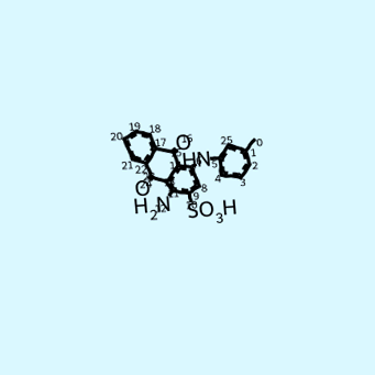 Cc1cccc(Nc2cc(S(=O)(=O)O)c(N)c3c2C(=O)c2ccccc2C3=O)c1